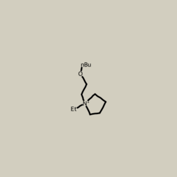 CCCCOCC[N+]1(CC)CCCC1